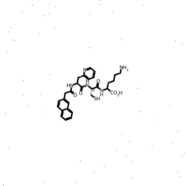 NCCCCC(NC(=O)[C@H](CS)NC(=O)C(Cc1ccccn1)NC(=O)Cc1ccc2ccccc2c1)C(=O)O